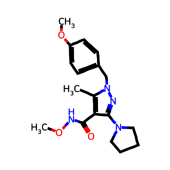 CONC(=O)c1c(N2CCCC2)nn(Cc2ccc(OC)cc2)c1C